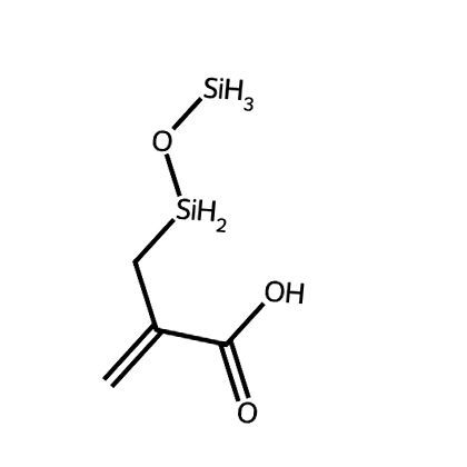 C=C(C[SiH2]O[SiH3])C(=O)O